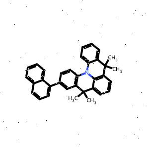 CC1(C)c2ccccc2N2c3ccc(-c4cccc5ccccc45)cc3C(C)(C)c3cccc1c32